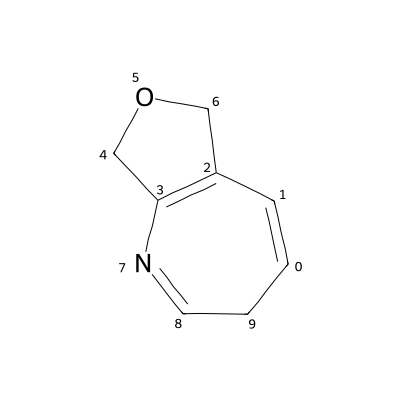 C1=CC2=C(COC2)N=CC1